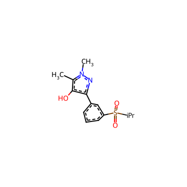 Cc1c(O)c(-c2cccc(S(=O)(=O)C(C)C)c2)nn1C